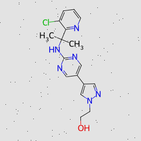 CC(C)(Nc1ncc(-c2cnn(CCO)c2)cn1)c1ncccc1Cl